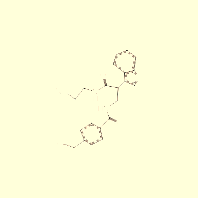 N#CCCNC(=O)C(CNC(=O)c1ccc(CCl)cc1)c1csc2ccccc12